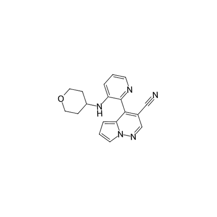 N#Cc1cnn2cccc2c1-c1ncccc1NC1CCOCC1